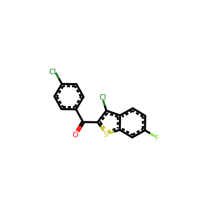 O=C(c1ccc(Cl)cc1)c1sc2cc(F)ccc2c1Cl